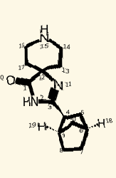 O=C1NC([C@H]2C[C@H]3CC[C@@H]2C3)=NC12CCNCC2